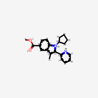 COC(=O)c1ccc2c(c1)c(C)c(-c1ccccn1)n2C1CCCC1